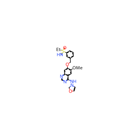 CCS(=N)(=O)c1cccc(COc2cc3ncnc(NN4C=COC4)c3cc2OC)c1